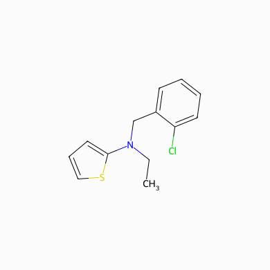 CCN(Cc1ccccc1Cl)c1cccs1